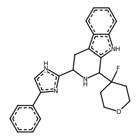 FC1(C2NC(c3nc(-c4ccccc4)c[nH]3)Cc3c2[nH]c2ccccc32)CCOCC1